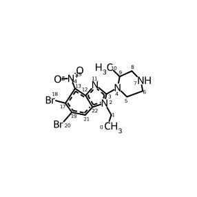 CCn1c(N2CCNCC2C)nc2c([N+](=O)[O-])c(Br)c(Br)cc21